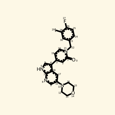 O=c1cc(-c2c[nH]c3ncc(N4CCOCC4)cc23)ccn1Cc1ccc(F)c(I)c1